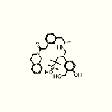 C[C@H](Cc1cccc(CC(=O)N2CCc3ccccc3C2)c1)NC[C@H](CC(C)(C)[Si](C)(C)O)c1ccc(O)c(CO)c1